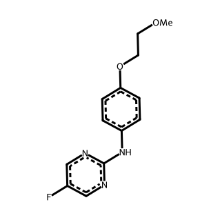 COCCOc1ccc(Nc2ncc(F)cn2)cc1